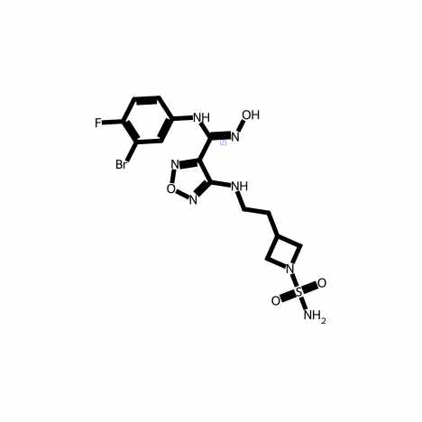 NS(=O)(=O)N1CC(CCNc2nonc2/C(=N/O)Nc2ccc(F)c(Br)c2)C1